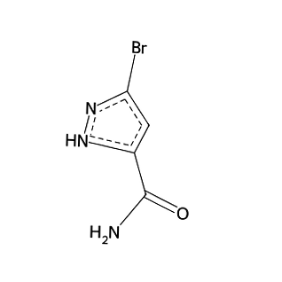 NC(=O)c1cc(Br)n[nH]1